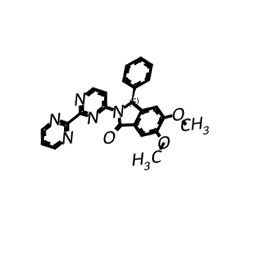 COc1cc2c(cc1OC)[C@H](c1ccccc1)N(c1ccnc(-c3ncccn3)n1)C2=O